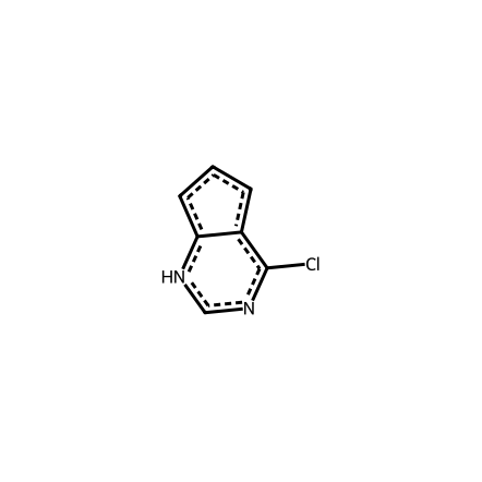 Clc1nc[nH]c2cccc1-2